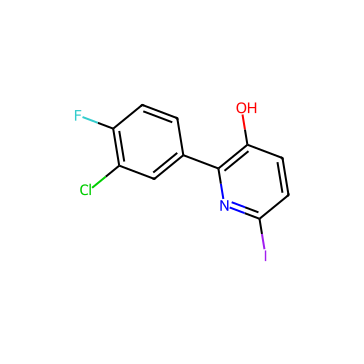 Oc1ccc(I)nc1-c1ccc(F)c(Cl)c1